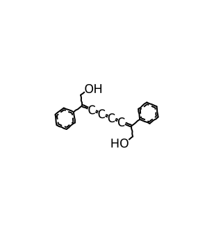 OCC(=C=C=C=C=C(CO)c1ccccc1)c1ccccc1